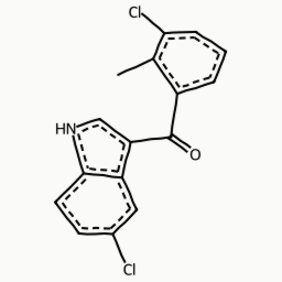 Cc1c(Cl)cccc1C(=O)c1c[nH]c2ccc(Cl)cc12